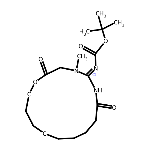 CN1CC(=O)OCCCCCCCCC(=O)N/C1=N/C(=O)OC(C)(C)C